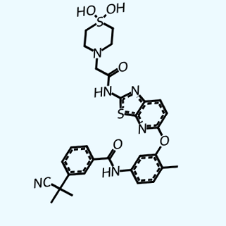 Cc1ccc(NC(=O)c2cccc(C(C)(C)C#N)c2)cc1Oc1ccc2nc(NC(=O)CN3CCS(O)(O)CC3)sc2n1